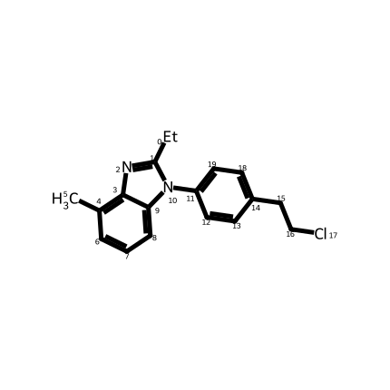 CCc1nc2c(C)cccc2n1-c1ccc(CCCl)cc1